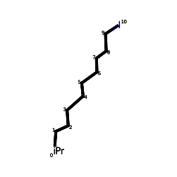 CC(C)CCCCCCCCCI